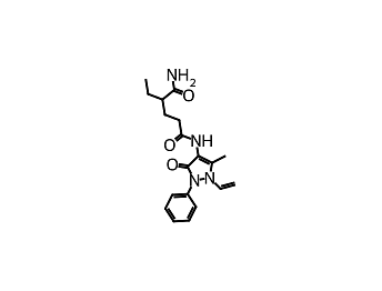 C=Cn1c(C)c(NC(=O)CCC(CC)C(N)=O)c(=O)n1-c1ccccc1